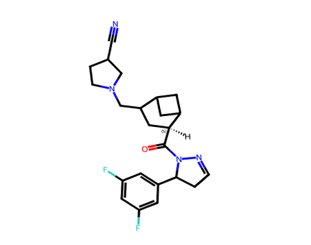 N#CC1CCN(CC2C[C@H](C(=O)N3N=CCC3c3cc(F)cc(F)c3)C3CC2C3)C1